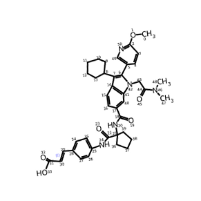 COc1ccc(-c2c(C3CCCCC3)c3ccc(C(=O)NC4(C(=O)Nc5ccc(/C=C/C(=O)O)cc5)CCCC4)cc3n2CC(=O)N(C)C)cn1